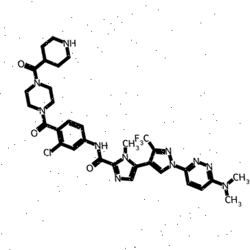 CN(C)c1ccc(-n2cc(-c3cnc(C(=O)Nc4ccc(C(=O)N5CCN(C(=O)C6CCNCC6)CC5)c(Cl)c4)n3C)c(C(F)(F)F)n2)nn1